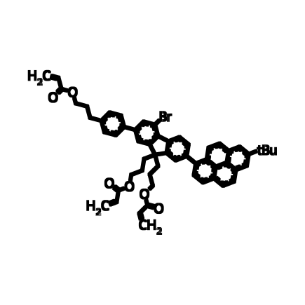 C=CC(=O)OCCCc1ccc(-c2cc(Br)c3c(c2)C(CCCOC(=O)C=C)(CCCOC(=O)C=C)c2cc(-c4ccc5ccc6cc(C(C)(C)C)cc7ccc4c5c67)ccc2-3)cc1